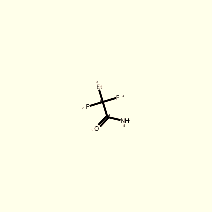 CCC(F)(F)C([NH])=O